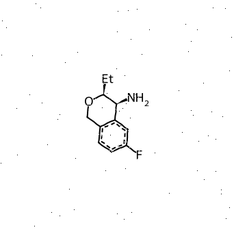 CC[C@@H]1OCc2ccc(F)cc2[C@@H]1N